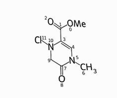 COC(=O)C1=CN(C)C(=O)CN1Cl